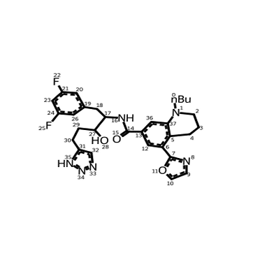 CCCCN1CCCc2c(-c3ncco3)cc(C(=O)NC(Cc3cc(F)cc(F)c3)C(O)CCc3cnn[nH]3)cc21